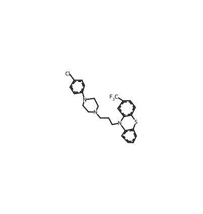 FC(F)(F)c1ccc2c(c1)N(CCCN1CCN(c3ccc(Cl)cc3)CC1)c1ccccc1S2